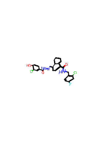 O=C(N/N=C/c1ccc(C(=O)NCc2ccc(F)cc2Cl)c2ccccc12)c1ccc(O)c(Cl)c1